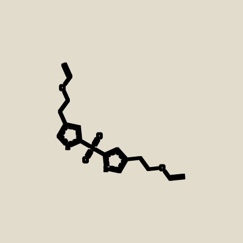 C=COCCc1csc(S(=O)(=O)c2cc(CCOC=C)cs2)c1